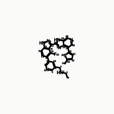 CCNCc1cncc(-c2ncc3[nH]nc(-c4nc5c(-c6ccc(C)s6)cncc5[nH]4)c3c2F)c1